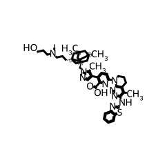 Cc1c(Nc2nc3ccccc3s2)nnc2c1CCCN2c1ccc(-c2cnn(C[C@]34C[C@@]5(C)C[C@](C)(C[C@](CCCN(I)CCCO)(C5)C3)C4)c2C)c(C(=O)O)n1